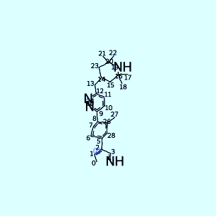 C/C=C(\C=N)c1ccc(-c2ccc(CC3CC(C)(C)NC(C)(C)C3)nn2)c(C)c1